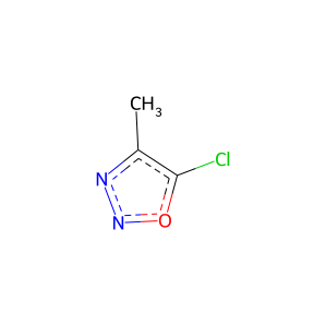 Cc1nnoc1Cl